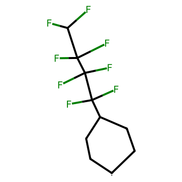 FC(F)C(F)(F)C(F)(F)C(F)(F)C1CC[CH]CC1